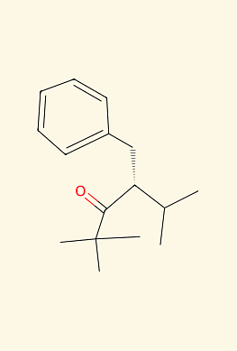 CC(C)[C@@H](Cc1ccccc1)C(=O)C(C)(C)C